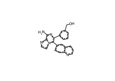 Nc1nc(-c2cccc(CO)c2)c(-c2ccc3ncccc3c2)n2ccnc12